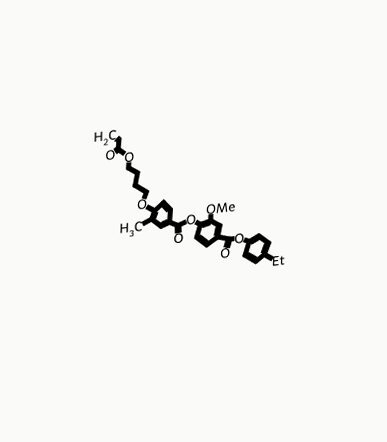 C=CC(=O)OCCCCOc1ccc(C(=O)Oc2ccc(C(=O)Oc3ccc(CC)cc3)cc2OC)cc1C